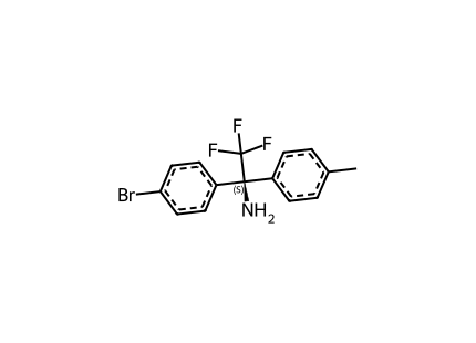 Cc1ccc([C@](N)(c2ccc(Br)cc2)C(F)(F)F)cc1